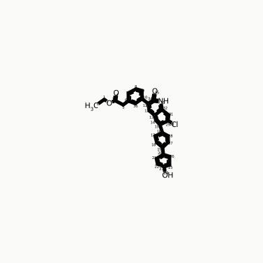 CCOC(=O)Cc1cccc(-c2cc3cc(-c4ccc(-c5ccc(O)cc5)cc4)c(Cl)cc3[nH]c2=O)c1